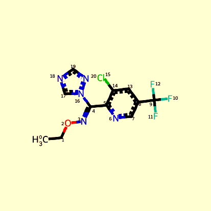 CCON=C(c1ncc(C(F)(F)F)cc1Cl)n1cncn1